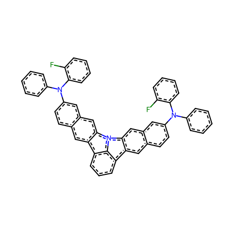 Fc1ccccc1N(c1ccccc1)c1ccc2cc3c4cccc5c6cc7ccc(N(c8ccccc8)c8ccccc8F)cc7cc6n(c3cc2c1)c45